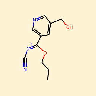 CCCO/C(=N\C#N)c1cncc(CO)c1